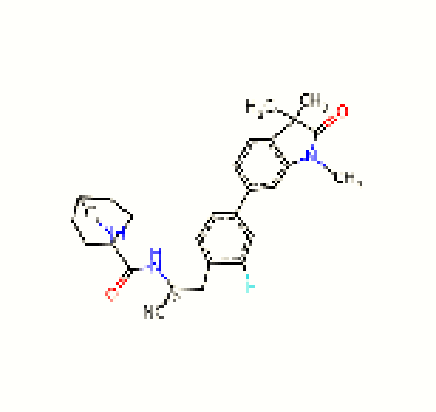 CN1C(=O)C(C)(C)c2ccc(-c3ccc(C[C@@H](C#N)NC(=O)C45CCC(CC4)CN5)c(F)c3)cc21